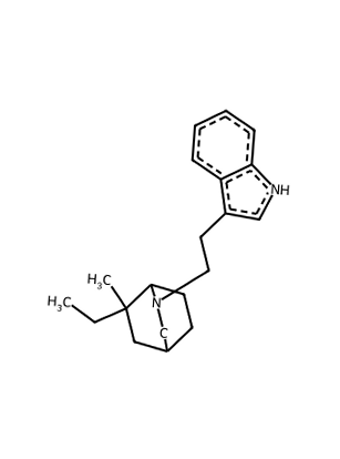 CCC1(C)CC2CCC1N(CCc1c[nH]c3ccccc13)C2